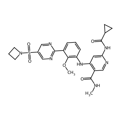 CNC(=O)c1cnc(NC(=O)C2CC2)cc1Nc1cccc(-c2ncc(S(=O)(=O)N3CCC3)cn2)c1OC